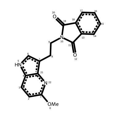 COc1ccc2[nH]cc(CCN3C(=O)c4ccccc4C3=O)c2n1